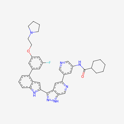 O=C(Nc1cncc(-c2cc3c(-c4cc5c(-c6cc(F)cc(OCCN7CCCC7)c6)cccc5[nH]4)n[nH]c3cn2)c1)C1CCCCC1